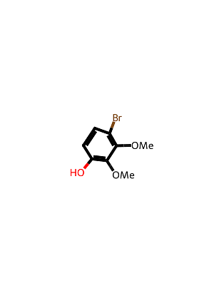 COc1c(O)ccc(Br)c1OC